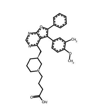 COc1ccc(-c2c(-c3ccccc3)oc3ncnc(C[C@@H]4CCCN(CCCC(=O)O)C4)c23)cc1C